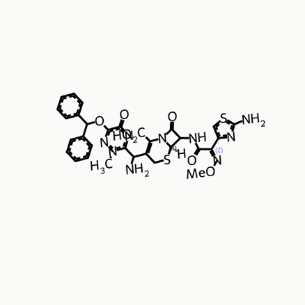 CO/N=C(\C(=O)NC1C(=O)N2C(C(=O)O)=C(C(N)c3nc(=O)c(OC(c4ccccc4)c4ccccc4)nn3C)CS[C@H]12)c1csc(N)n1